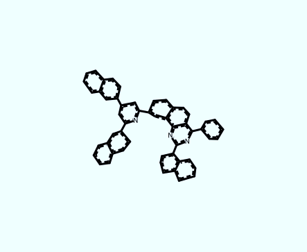 c1ccc(-c2nc(-c3cccc4ccccc34)nc3c2ccc2ccc(-c4cc(-c5ccc6ccccc6c5)cc(-c5ccc6ccccc6c5)n4)cc23)cc1